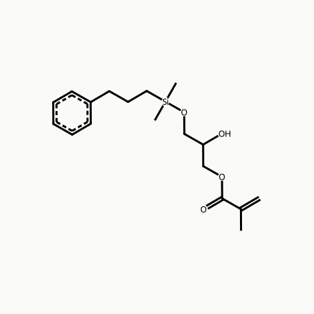 C=C(C)C(=O)OCC(O)CO[Si](C)(C)CCCc1ccccc1